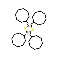 C1CCC[CH]([Sn]2([CH]3CCCCCCC3)[S][Sn]([CH]3CCCCCCC3)([CH]3CCCCCCC3)[S]2)CCC1